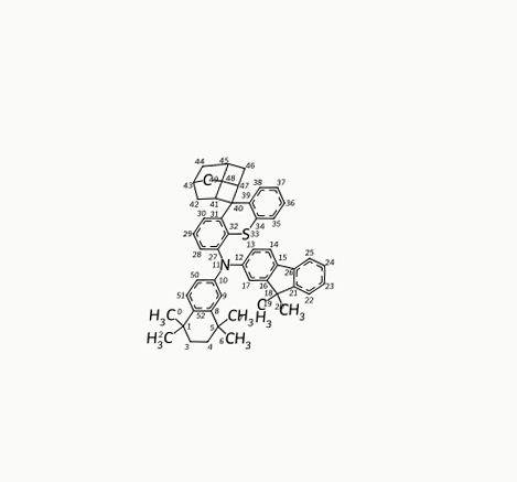 CC1(C)CCC(C)(C)c2cc(N(c3ccc4c(c3)C(C)(C)c3ccccc3-4)c3cccc4c3Sc3ccccc3C43C4CC5CC6CC3C64C5)ccc21